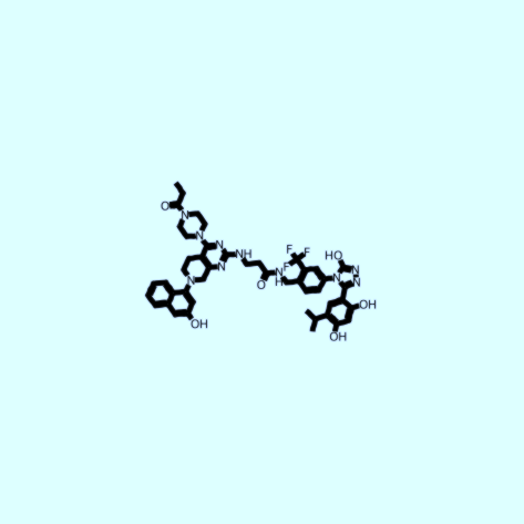 CCC(=O)N1CCN(c2nc(NCCC(=O)NCc3ccc(-n4c(O)nnc4-c4cc(C(C)C)c(O)cc4O)cc3C(F)(F)F)nc3c2CCN(c2cc(O)cc4ccccc24)C3)CC1